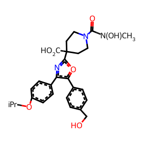 CC(C)Oc1ccc(-c2nc(C3(C(=O)O)CCN(C(=O)N(C)O)CC3)oc2-c2ccc(CO)cc2)cc1